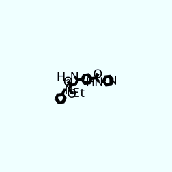 CCON(Cc1ccccc1)C(=O)CC(N)c1ccc(C(=O)Nc2ccncc2)cc1